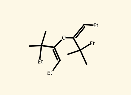 CC/C=C(/O/C(=C/CC)C(C)(C)CC)C(C)(C)CC